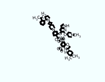 CC(C)c1ccccc1[C@H]1CCCN1C1CC2(CCN(c3ccc(C(=O)NS(=O)(=O)c4cc5c(c([N+](=O)[O-])c4)N[C@@H](C4CCC(C)(C)CC4)CO5)c(Oc4cc5cc[nH]c5nc4OC4CCN(C)CC4)c3)CC2)C1